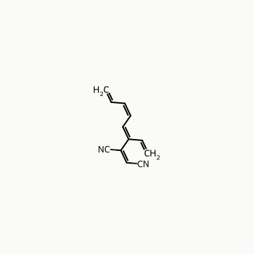 C=C\C=C/C=C(C=C)/C(C#N)=C\C#N